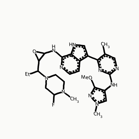 CCC(C1OC1Nc1nccc2c(-c3nc(Nc4cn(C)nc4OC)ncc3C)c[nH]c12)N1CCN(C)C(F)C1